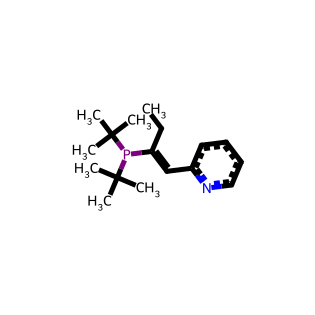 CC/C(=C\c1ccccn1)P(C(C)(C)C)C(C)(C)C